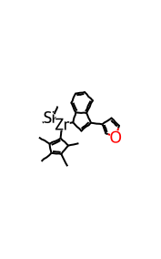 CC1=C(C)C(C)[C]([Zr]([CH]2C=C(c3ccoc3)c3ccccc32)=[Si](C)C)=C1C